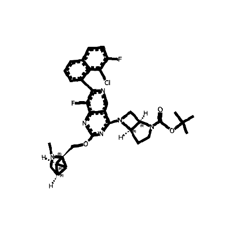 CN1C[C@@H]2C3[C@@H]2[C@@]31COc1nc(N2C[C@@H]3[C@H]2CCN3C(=O)OC(C)(C)C)c2cnc(-c3cccc4ccc(F)c(Cl)c34)c(F)c2n1